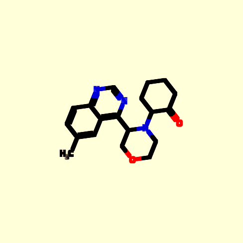 Cc1ccc2ncnc(C3COCCN3C3CCCCC3=O)c2c1